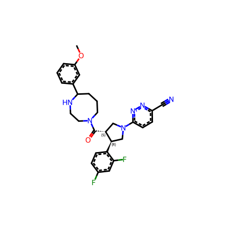 COc1cccc(C2CCCN(C(=O)[C@@H]3CN(c4ccc(C#N)nn4)C[C@H]3c3ccc(F)cc3F)CCN2)c1